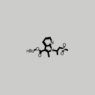 CCCCOC(=O)c1c(C)n(C(C)CS(C)(=O)=O)c2ncccc12